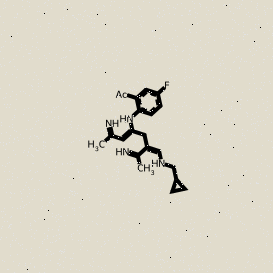 CC(=N)/C=C(/C/C(=C/NCC1CC1)C(C)=N)Nc1ccc(F)cc1C(C)=O